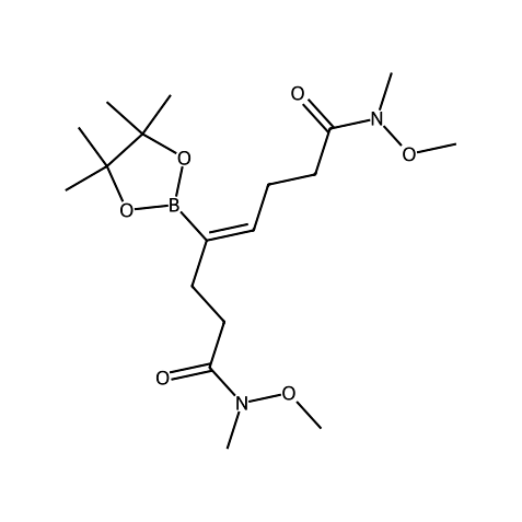 CON(C)C(=O)CC/C=C(/CCC(=O)N(C)OC)B1OC(C)(C)C(C)(C)O1